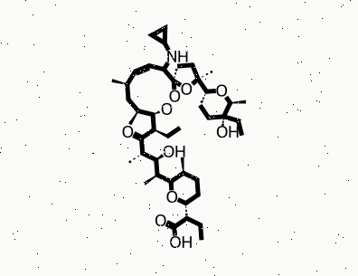 CCC(C(=O)O)[C@H]1CC[C@H](C)C([C@@H](C)[C@H](O)[C@H](C)C(=O)[C@H](CC)[C@H]2OO[C@@]3(CC[C@@](C)([C@H]4CC[C@](O)(CC)[C@H](C)O4)O3)C(NC3CC3)/C=C\[C@H](C)C[C@@H]2C)O1